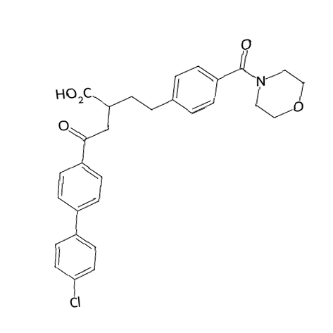 O=C(CC(CCc1ccc(C(=O)N2CCOCC2)cc1)C(=O)O)c1ccc(-c2ccc(Cl)cc2)cc1